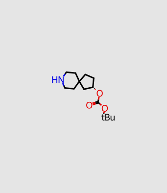 CC(C)(C)OC(=O)O[C@H]1CCC2(CCNCC2)C1